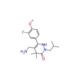 COc1ccc(C2=C(CN)C(C)(C)C(=O)N(CC(C)C)N2)cc1F